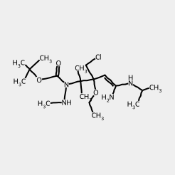 CCOC(/C=C(\N)NC(C)C)(CCl)C(C)(C)N(NC)C(=O)OC(C)(C)C